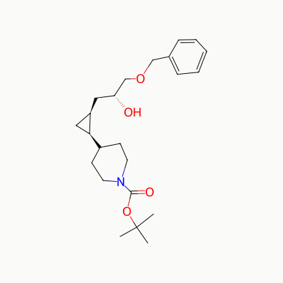 CC(C)(C)OC(=O)N1CCC([C@H]2C[C@H]2C[C@@H](O)COCc2ccccc2)CC1